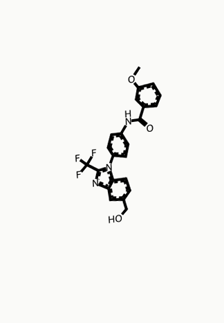 COc1cccc(C(=O)Nc2ccc(-n3c(C(F)(F)F)nc4cc(CO)ccc43)cc2)c1